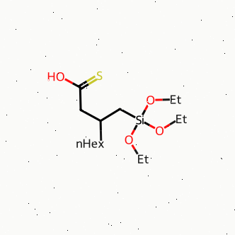 CCCCCCC(CC(O)=S)C[Si](OCC)(OCC)OCC